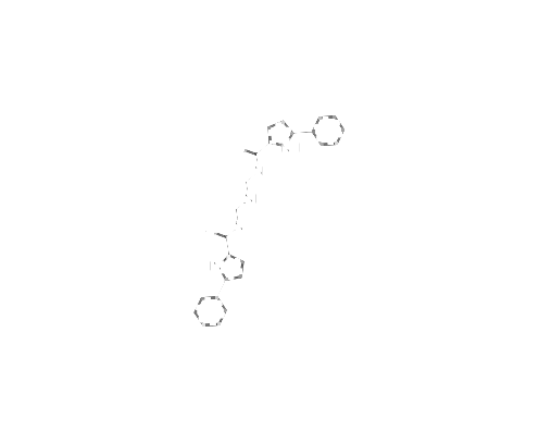 O=C(NCNCNC(=O)c1ccc(-c2ccccc2)[nH]1)c1ccc(-c2ccccc2)[nH]1